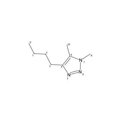 CCCCc1nnn(C)c1C